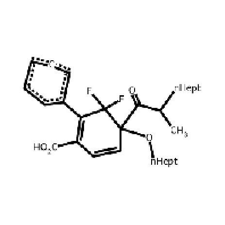 CCCCCCCOC1(C(=O)C(C)CCCCCCC)C=CC(C(=O)O)=C(c2ccccc2)C1(F)F